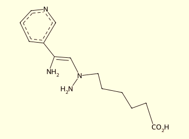 N/C(=C\N(N)CCCCCC(=O)O)c1cccnc1